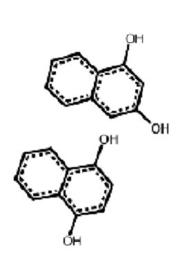 Oc1cc(O)c2ccccc2c1.Oc1ccc(O)c2ccccc12